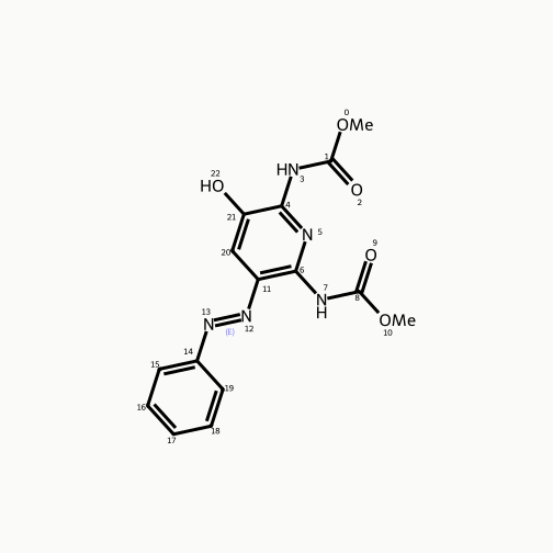 COC(=O)Nc1nc(NC(=O)OC)c(/N=N/c2ccccc2)cc1O